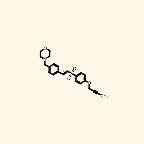 CC#CCOc1ccc(S(=O)(=O)/C=C/c2ccc(CN3CCOCC3)cc2)cc1